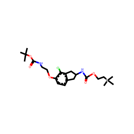 CC(C)(C)OC(=O)NCCOc1ccc2c(c1Cl)CC(NC(=O)OCC[Si](C)(C)C)C2